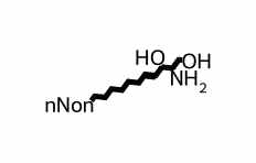 CCCCCCCCCCCCCCC/C=C/C(O)C(N)CO